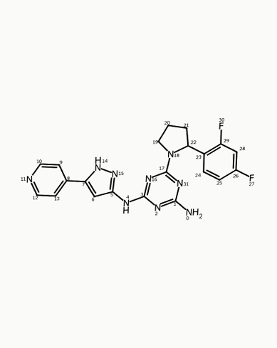 Nc1nc(Nc2cc(-c3ccncc3)[nH]n2)nc(N2CCCC2c2ccc(F)cc2F)n1